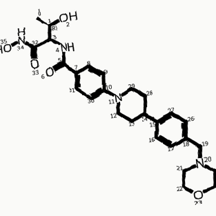 C[C@@H](O)C(NC(=O)c1ccc(N2CCC(c3ccc(CN4CCOCC4)cc3)CC2)cc1)C(=O)NO